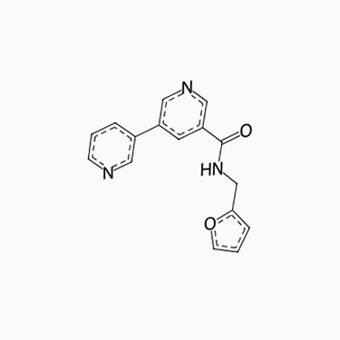 O=C(NCc1ccco1)c1cncc(-c2cccnc2)c1